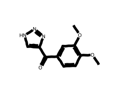 COc1ccc(C(=O)c2c[nH]nn2)cc1OC